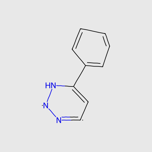 [C]1=N[N]NC(c2ccccc2)=C1